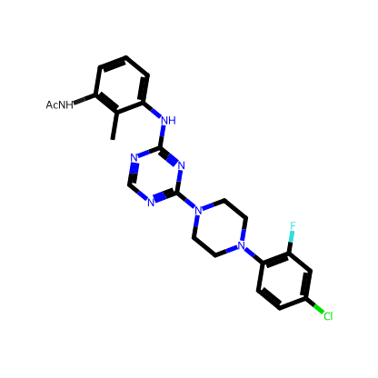 CC(=O)Nc1cccc(Nc2ncnc(N3CCN(c4ccc(Cl)cc4F)CC3)n2)c1C